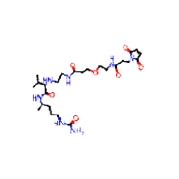 CC(C)[C@H](NCCNC(=O)CCOCCNC(=O)CCN1C(=O)C=CC1=O)C(=O)N[C@H](C)CCCNC(N)=O